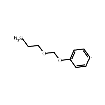 [SiH3]CCOCOc1cc[c]cc1